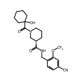 N#Cc1ccc(CNC(=O)[C@@H]2CCCN(C(=O)C3(O)CCCCC3)C2)c(OC(F)(F)F)c1